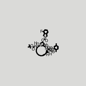 Cc1ccc(C)c(S(=O)(=O)NC(=O)[C@@]23C[C@H]2/C=C\CCCCC[C@H](NC(=O)OC(C)(C)C)C(=O)N2C[C@H](OC(=O)N4Cc5cccc(F)c5C4)C[C@H]2C(=O)N3)c1